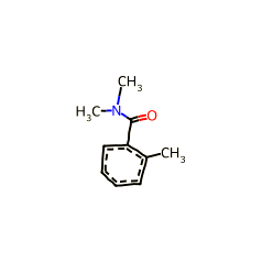 Cc1ccccc1C(=O)N(C)C